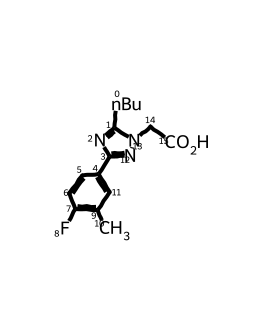 CCCCc1nc(-c2ccc(F)c(C)c2)nn1CC(=O)O